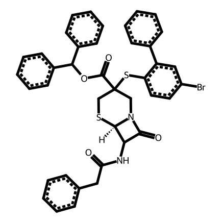 O=C(Cc1ccccc1)NC1C(=O)N2CC(Sc3ccc(Br)cc3-c3ccccc3)(C(=O)OC(c3ccccc3)c3ccccc3)CS[C@H]12